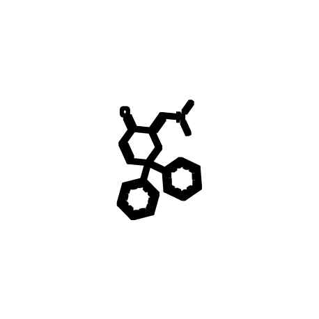 CN(C)/C=C1\CC(c2ccccc2)(c2ccccc2)C=CC1=O